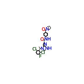 CC(c1c(Cl)ccc(F)c1Cl)N1CCNc2c1c1c(C(=O)Nc3ccc(C(=O)N4CCCC4)cc3)n2-1